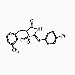 CC(C)c1ccc(/N=C2\NC(=O)C(Cc3cccc(C(F)(F)F)c3)S2(=O)=O)cc1